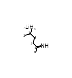 [CH2]C(C)CCC(C)=N.[LiH]